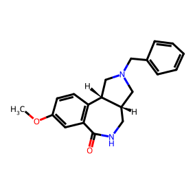 COc1ccc2c(c1)C(=O)NC[C@H]1CN(Cc3ccccc3)C[C@@H]21